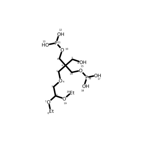 CCOC(COCC(CO)(COP(O)O)COP(O)O)OCC